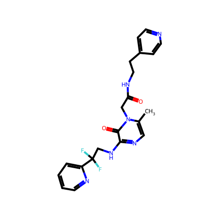 Cc1cnc(NCC(F)(F)c2ccccn2)c(=O)n1CC(=O)NCCc1ccncc1